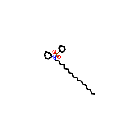 CCCCCCCCCCCCCCCCCCN(c1ccccc1)S(=O)(=O)c1[c]cccc1